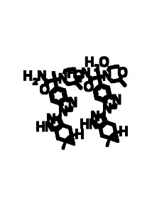 CC1CN(C(C)(C(N)=O)c2ccc3c(c2)ncn3-c2n[nH]c3c2C[C@@H]2C[C@]2(C)C3)CCO1.CC1CN(C(C)(C(N)=O)c2ccc3c(c2)ncn3-c2n[nH]c3c2C[C@@H]2C[C@]2(C)C3)CCO1.O